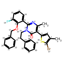 Cc1cc(-c2c(C)nc(-c3cccc(F)c3OCc3ccccc3)n(CCc3ccccc3)c2=O)sc1Br